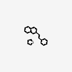 C(=Cc1ccc2ccccc2c1)c1ccccc1.c1ccsc1